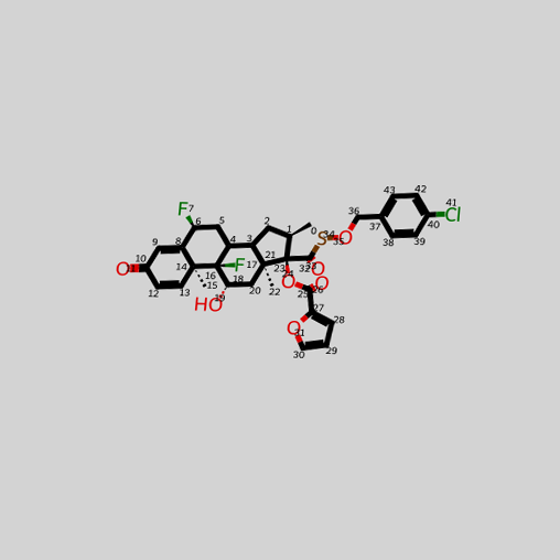 C[C@@H]1CC2C3C[C@H](F)C4=CC(=O)C=C[C@]4(C)[C@@]3(F)[C@@H](O)C[C@]2(C)[C@@]1(OC(=O)c1ccco1)C(=O)SOCc1ccc(Cl)cc1